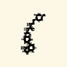 CN1CCN(CCNC(=O)Nc2nc3ccc(-c4cccc5cc[nH]c45)cc3s2)CC1